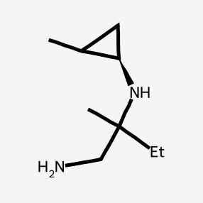 CCC(C)(CN)N[C@@H]1CC1C